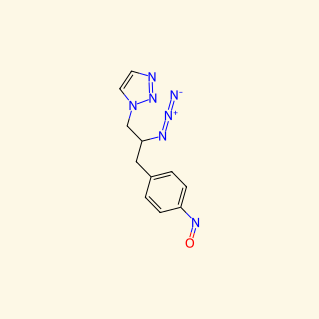 [N-]=[N+]=NC(Cc1ccc(N=O)cc1)Cn1ccnn1